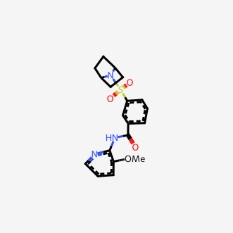 COc1cccnc1NC(=O)c1cccc(S(=O)(=O)N2C3CCC2CC3)c1